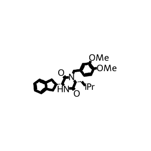 COc1ccc(CN2C(=O)[C@@H](C3Cc4ccccc4C3)NC(=O)[C@H]2CC(C)C)cc1OC